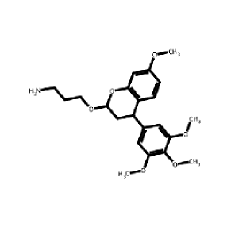 COc1ccc2c(c1)OC(OCCCN)CC2c1cc(OC)c(OC)c(OC)c1